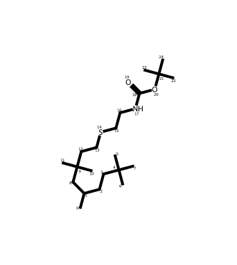 CC(CCC(C)(C)C)CC(C)(C)CCSCCNC(=O)OC(C)(C)C